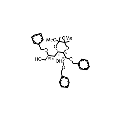 COC1(C)O[C@@H]([C@@H](COCc2ccccc2)OCc2ccccc2)[C@H]([C@H](O)[C@@H](CO)OCc2ccccc2)OC1(C)OC